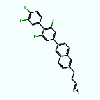 C=CCCc1ccc2cc(-c3cc(F)c(-c4ccc(F)c(F)c4)c(F)c3)ccc2c1